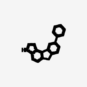 c1ccc(-c2ccc3c(c2)-c2c(ccc4[nH]ccc24)C3)cc1